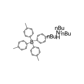 CCCC[NH+](CCCC)CCCC.Cc1ccc([B-](c2ccc(C)cc2)(c2ccc(C)cc2)c2ccc(C)cc2)cc1